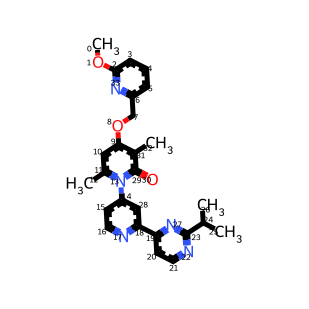 COc1cccc(COc2cc(C)n(-c3ccnc(-c4ccnc(C(C)C)n4)c3)c(=O)c2C)n1